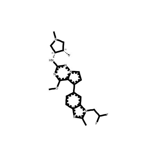 COc1nc(N[C@@H]2CN(C)C[C@@H]2F)nn2ccc(-c3ccc4nc(C)n(CC(F)F)c4c3)c12